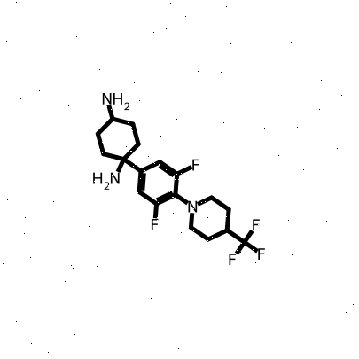 NC1CCC(N)(c2cc(F)c(N3CCC(C(F)(F)F)CC3)c(F)c2)CC1